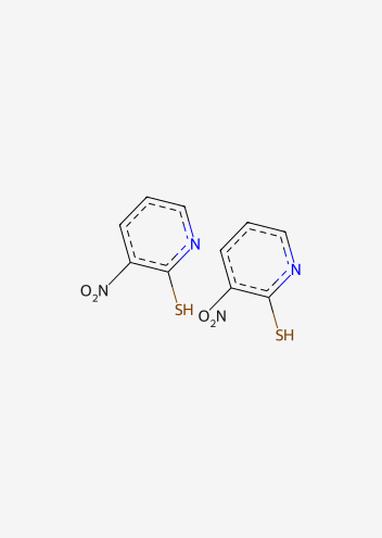 O=[N+]([O-])c1cccnc1S.O=[N+]([O-])c1cccnc1S